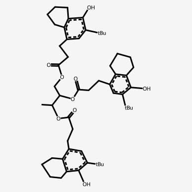 CC(OC(=O)CCc1cc(C(C)(C)C)c(O)c2c1CCCC2)C(COC(=O)CCc1cc(C(C)(C)C)c(O)c2c1CCCC2)OC(=O)CCc1cc(C(C)(C)C)c(O)c2c1CCCC2